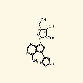 Nc1ncnc2c1c(-c1c[nH]cn1)cn2[C@@H]1O[C@H](CO)[C@@H](O)[C@H]1O